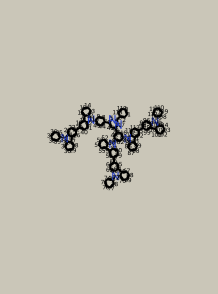 c1ccc(-c2nc(-c3ccc(-n4c5ccccc5c5cc(-c6ccc7c(c6)c6ccccc6n7-c6ccccc6)ccc54)cc3)cc(-c3cc(-n4c5ccccc5c5cc(-c6ccc7c(c6)c6ccccc6n7-c6ccccc6)ccc54)cc(-n4c5ccccc5c5cc(-c6ccc7c(c6)c6ccccc6n7-c6ccccc6)ccc54)c3)n2)cc1